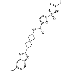 CCC(=O)NS(=O)(=O)c1ccc(C(=O)NC2CC3(C2)CC(c2nc4cc(Cl)ccc4o2)C3)o1